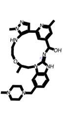 Cc1cc2cc(n1)-c1cnn(C)c1NCCOC(C)CN1/C(=N/C2O)Nc2ccc(CN3CCN(C)CC3)cc21